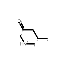 CCCC=O.CNC